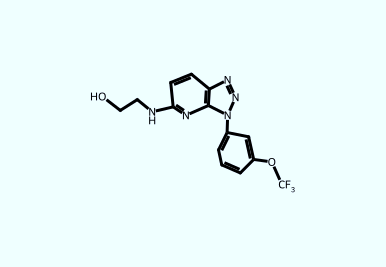 OCCNc1ccc2nnn(-c3cccc(OC(F)(F)F)c3)c2n1